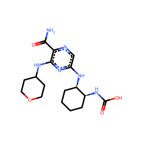 NC(=O)c1ncc(N[C@@H]2CCCC[C@@H]2NC(=O)O)nc1NC1CCOCC1